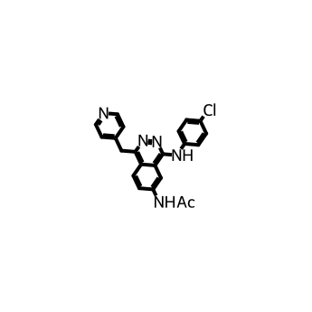 CC(=O)Nc1ccc2c(Cc3ccncc3)nnc(Nc3ccc(Cl)cc3)c2c1